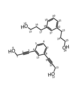 OCC#Cc1cccc(C#CCO)c1.OCCCc1cccc(CCCO)c1